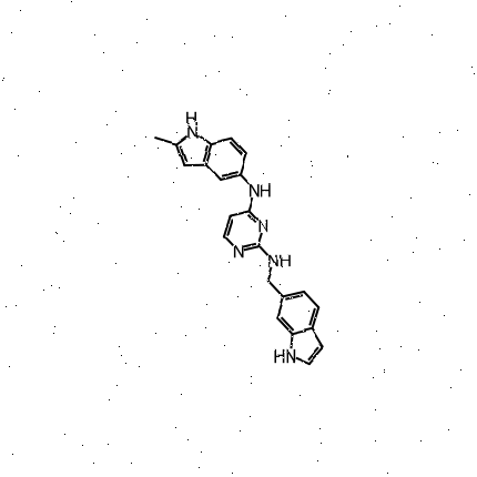 Cc1cc2cc(Nc3ccnc(NCc4ccc5cc[nH]c5c4)n3)ccc2[nH]1